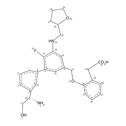 N[C@H](CO)c1cccc(-c2cc(COc3ccccc3CC(=O)O)cc(NCC3CCCO3)c2F)c1